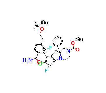 CC(C)(C)OC(=O)N1CCN2c3cc(F)c(Cl)c(-c4c(C(N)=O)ccc(CCO[Si](C)(C)C(C)(C)C)c4F)c3CC2(c2ccccc2)C1